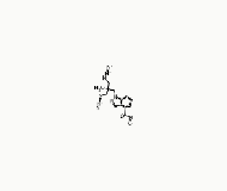 CC(CN=[N+]=[N-])(CN=[N+]=[N-])Cn1ncc2c(C(=O)N=O)cccc21